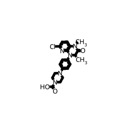 CC1C(=O)N(C)c2ccc(Cl)nc2N1c1ccc(N2CCN(C(=O)O)CC2)cc1